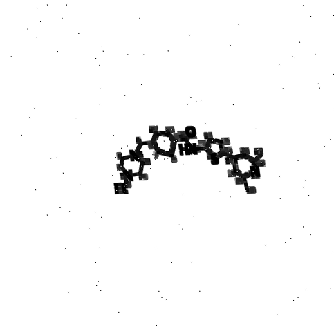 CCN1CCN(Cc2ccc(C(=O)Nc3ccc(-c4cc(C)nc(C)c4)s3)cc2)CC1